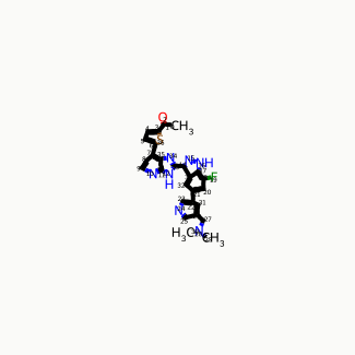 CC(=O)c1ccc(-c2ccnc3[nH]c(-c4n[nH]c5c(F)cc(-c6cncc(CN(C)C)c6)cc45)nc23)s1